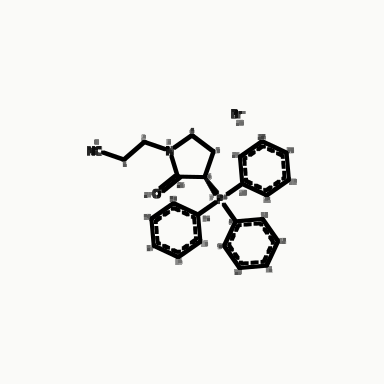 N#CCCN1CC[C@@H]([P+](c2ccccc2)(c2ccccc2)c2ccccc2)C1=O.[Br-]